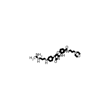 C=C(N)NCCCNC1CCC(n2cc3c(nc2=O)Nc2cc(C(=O)NCCCN4CCOCC4)ccc2O3)CC1